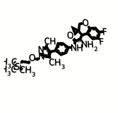 Cc1nn(COCC[Si](C)(C)C)c(C)c1-c1ccc(NC(=O)[C@@H](N)C2c3cc(F)c(F)cc3OCC23CC3)cc1